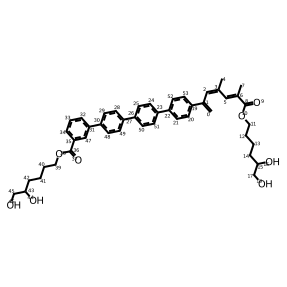 C=C(/C=C(C)\C=C(/C)C(=O)OCCCCC(O)CO)c1ccc(-c2ccc(-c3ccc(-c4cccc(C(=O)OCCCCC(O)CO)c4)cc3)cc2)cc1